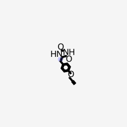 C#CCOc1ccc(/C=C2/NC(=O)NC2=O)cc1